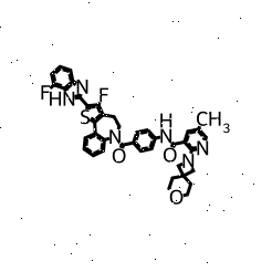 Cc1cnc(N2CC3(CCOCC3)C2)c(C(=O)Nc2ccc(C(=O)N3CCc4c(sc(-c5nc6cccc(F)c6[nH]5)c4F)-c4ccccc43)cc2)c1